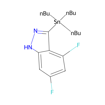 CCC[CH2][Sn]([CH2]CCC)([CH2]CCC)[c]1n[nH]c2cc(F)cc(F)c12